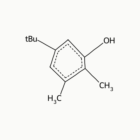 Cc1cc(C(C)(C)C)cc(O)c1C